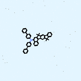 CC1(C)C2=C(C=C3C(C2)c2c(cc(N(c4ccc(-c5ccccc5)cc4)c4ccc(-c5ccccc5)cc4)c4ccccc24)C3(C)C)c2ccccc21